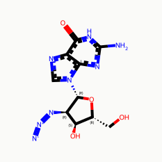 [N-]=[N+]=N[C@@H]1[C@H](O)[C@@H](CO)O[C@H]1n1cnc2c(=O)[nH]c(N)nc21